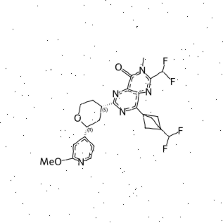 COc1cc([C@H]2C[C@@H](c3nc(C45CC(C(F)F)(C4)C5)c4nc(C(F)F)n(C)c(=O)c4n3)CCO2)ccn1